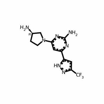 Nc1nc(-c2cc(C(F)(F)F)n[nH]2)cc(N2CC[C@@H](N)C2)n1